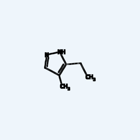 CCc1[nH]ncc1C